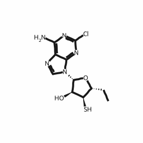 CC[C@H]1O[C@@H](n2cnc3c(N)nc(Cl)nc32)[C@H](O)[C@@H]1S